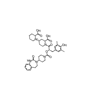 Cc1cc(C[C@@H](OC(=O)N2CCC(N3CCc4ccccc4NC3=O)CC2)C(=O)N2CCC([N+]3CCCCC3C(=O)O)CC2C(=O)O)cc(C)c1O